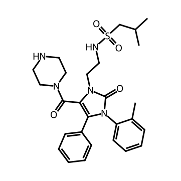 Cc1ccccc1-n1c(-c2ccccc2)c(C(=O)N2CCNCC2)n(CCNS(=O)(=O)CC(C)C)c1=O